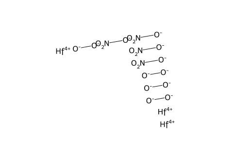 O=[N+]([O-])[O-].O=[N+]([O-])[O-].O=[N+]([O-])[O-].O=[N+]([O-])[O-].[Hf+4].[Hf+4].[Hf+4].[O-][O-].[O-][O-].[O-][O-].[O-][O-]